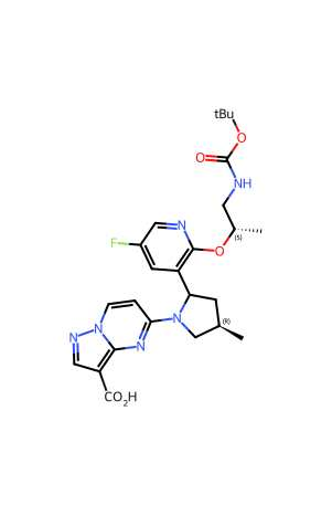 C[C@@H]1CC(c2cc(F)cnc2O[C@@H](C)CNC(=O)OC(C)(C)C)N(c2ccn3ncc(C(=O)O)c3n2)C1